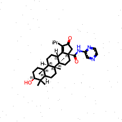 CC(C)C1=C2[C@H]3CC[C@@H]4[C@@]5(C)CC[C@H](O)C(C)(C)[C@@H]5CC[C@@]4(C)[C@]3(C)CC[C@@]2(C(=O)Nc2cnccn2)CC1=O